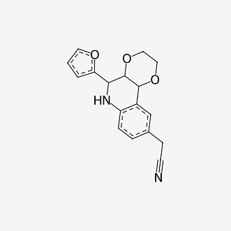 N#CCc1ccc2c(c1)C1OCCOC1C(c1ccco1)N2